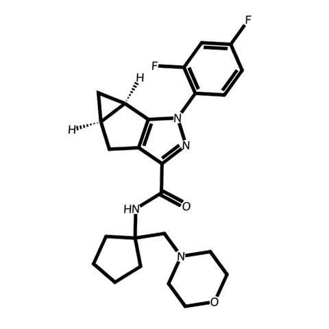 O=C(NC1(CN2CCOCC2)CCCC1)c1nn(-c2ccc(F)cc2F)c2c1C[C@H]1C[C@@H]21